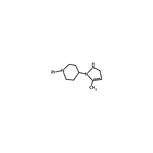 CC1=CCNN1C1CCN(C(C)C)CC1